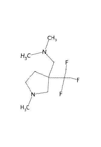 CN(C)CC1(C(F)(F)F)CCN(C)C1